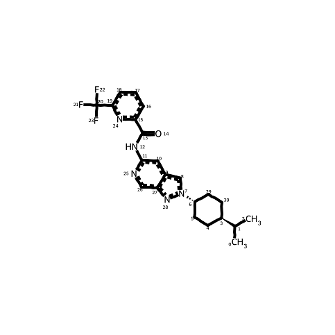 CC(C)[C@H]1CC[C@H](n2cc3cc(NC(=O)c4cccc(C(F)(F)F)n4)ncc3n2)CC1